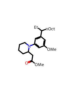 CCCCCCCCC(CC)c1cc(OC)cc(N2CCCCC2CC(=O)OC)c1